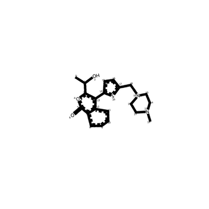 CC(O)c1oc(=O)c2ccccc2c1-c1ccc(CN2CCN(C)CC2)s1